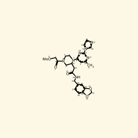 COCC(=O)N1CCN(c2cc(C)nc(-n3ccnc3)n2)C(CC(=O)NCc2ccc3c(c2)OCO3)C1